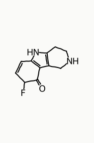 O=C1c2c([nH]c3c2CNCC3)C=CC1F